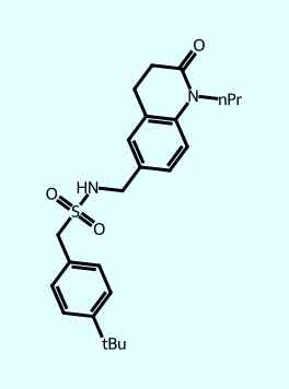 CCCN1C(=O)CCc2cc(CNS(=O)(=O)Cc3ccc(C(C)(C)C)cc3)ccc21